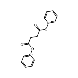 O=C(CCC(=O)O[n+]1ccccc1)O[n+]1ccccc1